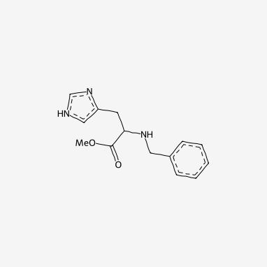 COC(=O)C(Cc1c[nH]cn1)NCc1ccccc1